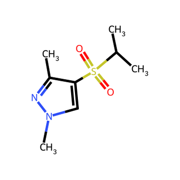 Cc1nn(C)cc1S(=O)(=O)C(C)C